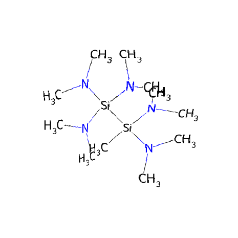 CN(C)[Si](C)(N(C)C)[Si](N(C)C)(N(C)C)N(C)C